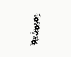 COc1ccc(C(=O)Nc2ccc(SC(CCOC(=O)Nc3ccc(F)cc3F)C(=O)O)cc2)cc1